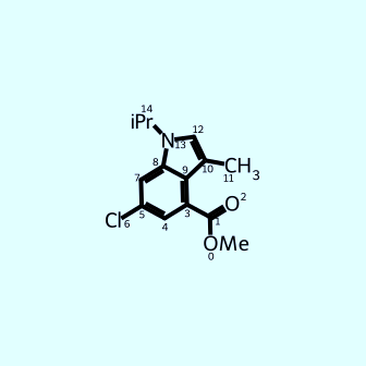 COC(=O)c1cc(Cl)cc2c1c(C)cn2C(C)C